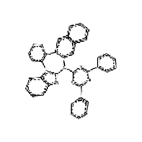 c1ccc(-c2nc(-c3ccccc3)nc(N3c4cc5ccccc5cc4-c4ccccc4-n4c3nc3ccccc34)n2)cc1